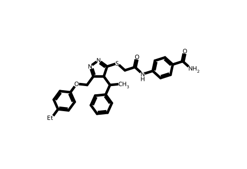 CCc1ccc(OCC2=NN=C(SCC(=O)Nc3ccc(C(N)=O)cc3)C2C(C)c2ccccc2)cc1